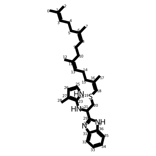 CC(C)=CCCC(C)=CCCC(C)=CCCC(C)=CSCC(Nc1[nH]ccc1C)c1nc2ccccc2[nH]1